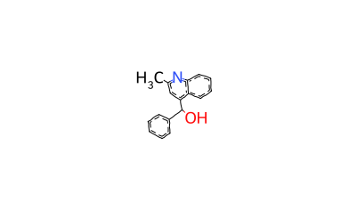 Cc1cc(C(O)c2ccccc2)c2ccccc2n1